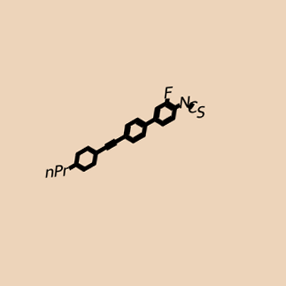 CCCC1CCC(C#Cc2ccc(-c3ccc(N=C=S)c(F)c3)cc2)CC1